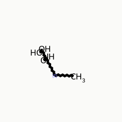 CCCCCCCC/C=C\CCCCCCCC(=O)NCCC(O)O